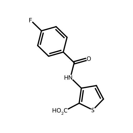 O=C(Nc1ccsc1C(=O)O)c1ccc(F)cc1